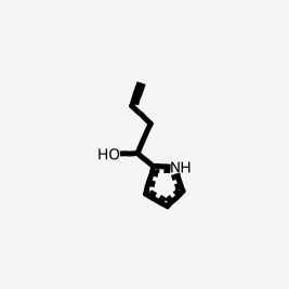 C=CCC(O)c1ccc[nH]1